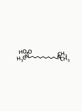 CN(C)CCCCCCCCCCCN(C)C(=O)O